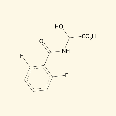 O=C(NC(O)C(=O)O)c1c(F)cccc1F